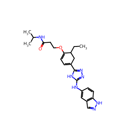 CCC1CC(c2nnc(Nc3ccc4[nH]ncc4c3)[nH]2)=CC=C1OCCC(=O)NC(C)C